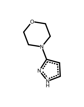 c1cc(N2CCOCC2)n[nH]1